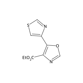 CCOC(=O)c1ncoc1-c1cscn1